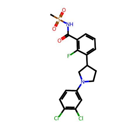 CS(=O)(=O)NC(=O)c1cccc(C2CCN(c3ccc(Cl)c(Cl)c3)C2)c1F